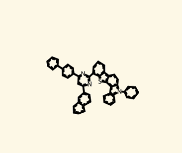 c1ccc(-c2ccc(-c3cc(-c4ccc5ccccc5c4)nc(-c4cccc5c4sc4c5ccc5c4c4ccccc4n5-c4ccccc4)n3)cc2)cc1